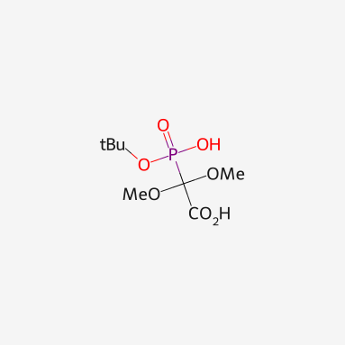 COC(OC)(C(=O)O)P(=O)(O)OC(C)(C)C